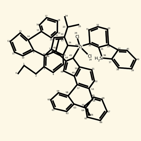 CCCc1ccc2c(c1-c1ccccc1-c1ccccc1)C=C(C(C)C)[CH]2[Zr]([Cl])([Cl])([c]1cccc2c1[SiH2]c1ccccc1-2)[CH]1C(C(C)C)=Cc2c1ccc(CCC)c2-c1ccccc1-c1ccccc1